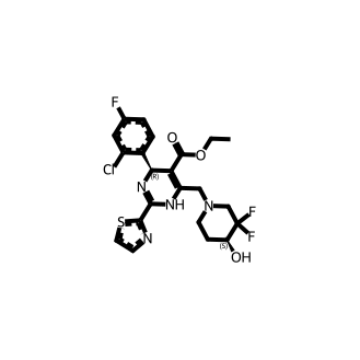 CCOC(=O)C1=C(CN2CC[C@H](O)C(F)(F)C2)NC(c2nccs2)=N[C@H]1c1ccc(F)cc1Cl